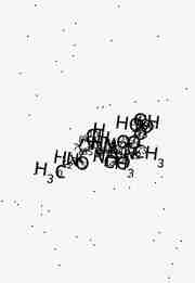 CCCNC(=O)c1ccc(C)c(NC(=N)c2[nH]cc(C(=O)N(CC)C(=O)OCOP(=O)(O)O)c2C)c1